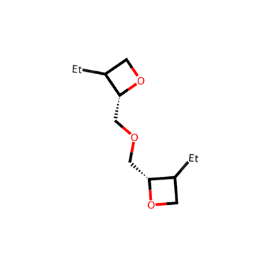 CCC1CO[C@@H]1COC[C@H]1OCC1CC